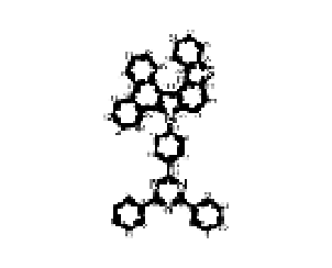 c1ccc(-c2nc(-c3ccccc3)nc(-c3ccc(-n4c5ccc6sc7ccccc7c6c5c5c6ccccc6c6ccccc6c54)cc3)n2)cc1